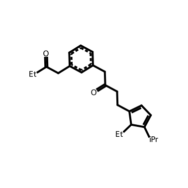 CCC(=O)Cc1cccc(CC(=O)CCC2=CC=C(C(C)C)C2CC)c1